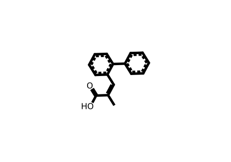 CC(=Cc1ccccc1-c1ccccc1)C(=O)O